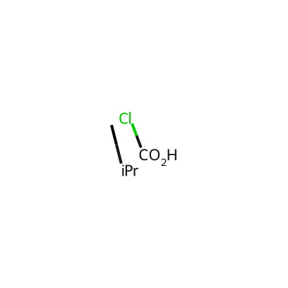 CC(C)C.O=C(O)Cl